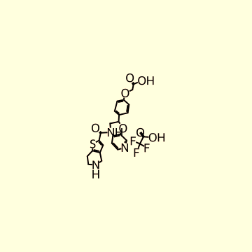 O=C(O)C(F)(F)F.O=C(O)COc1ccc(C(CNC(=O)c2cc3c(s2)CCNC3)Oc2cccnc2)cc1